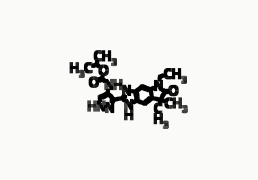 CCN1C(=O)C(C)(C)c2cc3[nH]c(-c4n[nH]cc4NC(=O)OC(C)C)nc3cc21